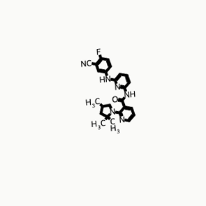 CC1CN(c2ncccc2C(=O)Nc2cccc(Nc3ccc(F)c(C#N)c3)n2)C(C)(C)C1